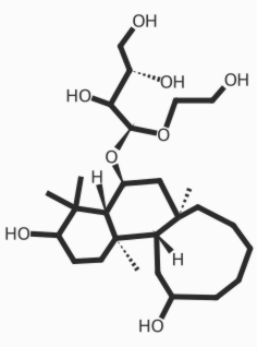 CC1(C)C(O)CC[C@@]2(C)[C@H]1[C@@H](O[C@H](OCCO)C(O)[C@@H](O)CO)C[C@@]1(C)CCCCCC(O)C[C@@H]12